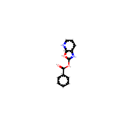 O=C(Oc1nc2cccnc2o1)c1ccccc1